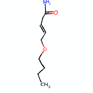 CCCCOCC=CC(N)=O